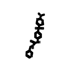 CN(C)c1ncc(S(=O)(=O)c2ccc(NC(=O)NCc3cccnc3)cc2)cn1